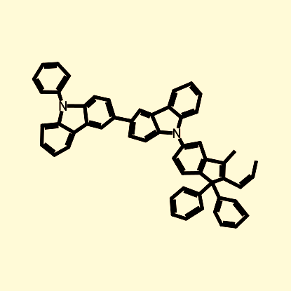 C/C=C\C1=C(C)c2cc(-n3c4ccccc4c4cc(-c5ccc6c(c5)c5ccccc5n6-c5ccccc5)ccc43)ccc2C1(c1ccccc1)c1ccccc1